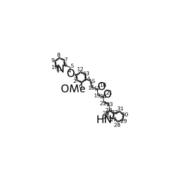 COc1cc(OCc2ccccn2)ccc1C=CC(=O)CC(=O)C=Cc1c[nH]c2ccccc12